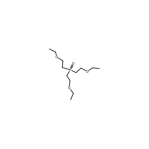 CCOCCP(=O)(CCOCC)CCOCC